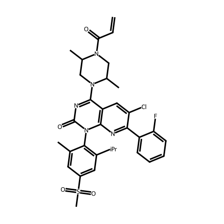 C=CC(=O)N1CC(C)N(c2nc(=O)n(-c3c(C)cc(S(C)(=O)=O)cc3C(C)C)c3nc(-c4ccccc4F)c(Cl)cc23)CC1C